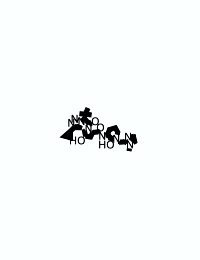 Cn1ccnc1CN1CCCC(NC(=O)C2CC(O)CN2C(=O)[C@@H](n2cc(C3CC3)nn2)C(C)(C)C)C1=O